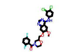 COc1cc2c(Nc3ccc(Cl)c(Cl)c3)ncnc2cc1OCC1CN(C(=O)c2cc(F)ccc2F)CCO1